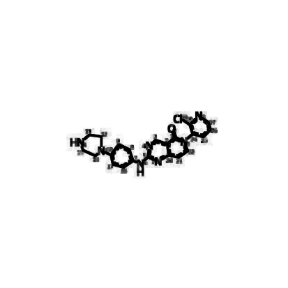 O=c1c2cnc(Nc3ccc(N4CCNCC4)cc3)nc2ccn1-c1cccnc1Cl